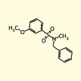 COc1cccc(S(=O)(=O)N(C)Cc2ccccc2)c1